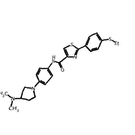 CCSc1ccc(-c2nc(C(=O)Nc3ccc(N4CCC(N(C)C)C4)cc3)cs2)cc1